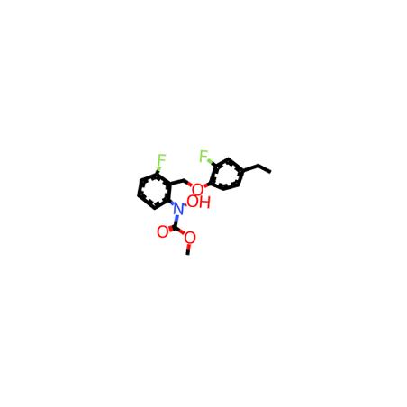 CCc1ccc(OCc2c(F)cccc2N(O)C(=O)OC)c(F)c1